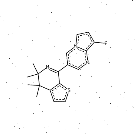 CC1(C)N=C(c2cnc3c(F)ccn3c2)c2sccc2C1(C)C